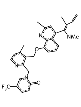 C=C/C(C)=C(\NC)c1cc(C)nc2c(OCc3c(C)ccnc3Cn3cc(C(F)(F)F)ccc3=O)cccc12